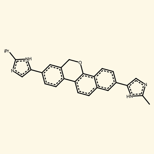 Cc1ncc(-c2ccc3c4c(ccc3c2)-c2ccc(-c3cnc(C(C)C)[nH]3)cc2CO4)[nH]1